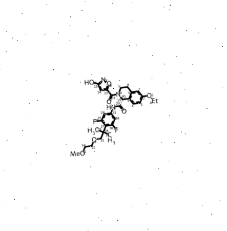 CCOc1ccc2c(c1)CCN(C(=O)c1cc(O)no1)[C@H]2C(=O)Nc1cc(F)c(C(C)(C)COCCOC)c(F)c1